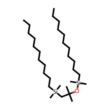 CCCCCCCCCCC[Si](C)(C)CC(C)(C)O[Si](C)(C)CCCCCCCCCCC